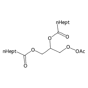 CCCCCCCC(=O)OCC(COOC(C)=O)OC(=O)CCCCCCC